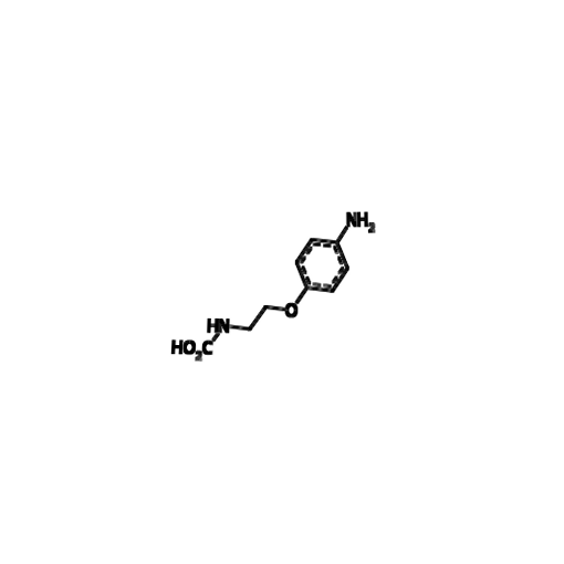 Nc1ccc(OCCNC(=O)O)cc1